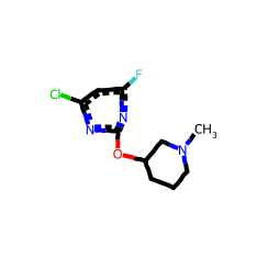 CN1CCCC(Oc2nc(F)cc(Cl)n2)C1